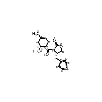 CC1=CC[C@H](C(=O)N2C(=O)OC[C@@H]2Cc2ccccc2)[C@@H](C)C1